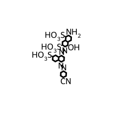 N#Cc1ccc(/N=N/c2ccc(/N=N/c3c(S(=O)(=O)O)cc4c(S(=O)(=O)O)c(N)ccc4c3O)c3cc(S(=O)(=O)O)ccc23)cc1